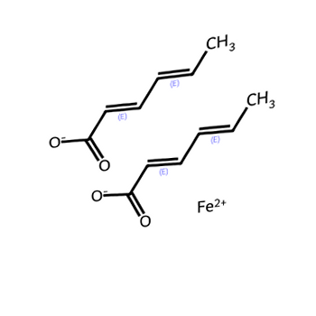 C/C=C/C=C/C(=O)[O-].C/C=C/C=C/C(=O)[O-].[Fe+2]